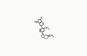 Cc1cc(N2CCC3CCN(C)CC32)nnc1-c1ccc2c(F)c[nH]c2c1